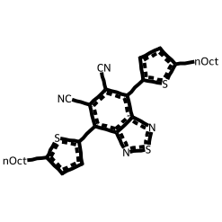 CCCCCCCCc1ccc(-c2c(C#N)c(C#N)c(-c3ccc(CCCCCCCC)s3)c3nsnc23)s1